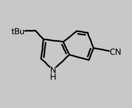 CC(C)(C)Cc1c[nH]c2cc(C#N)ccc12